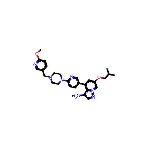 COc1ccc(CN2CCN(c3ccc(-c4cc(OCC(C)C)cn5ncc(N)c45)cn3)CC2)cn1